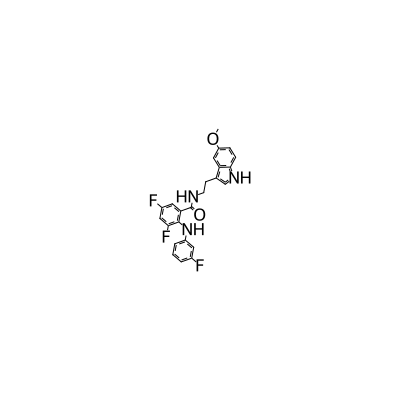 COc1ccc2[nH]cc(CCNC(=O)c3cc(F)cc(F)c3Nc3cccc(F)c3)c2c1